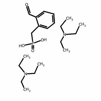 CCN(CC)CC.CCN(CC)CC.O=Cc1ccccc1CP(=O)(O)O